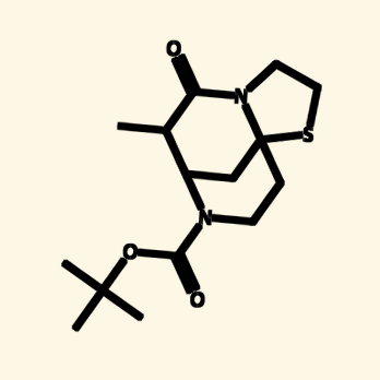 CC1C(=O)N2CCSC23CCN(C(=O)OC(C)(C)C)C1C3